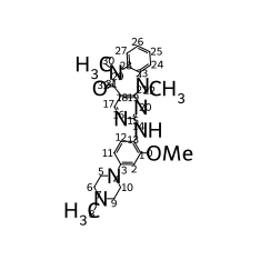 COc1cc(N2CCN(C)CC2)ccc1Nc1ncc2c(n1)N(C)c1ccccc1N(C)C2=O